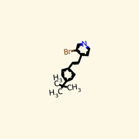 CC(C)(C)c1ccc(/C=C/c2ccncc2Br)cc1